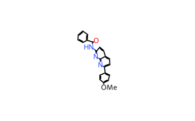 COc1ccc(-c2ccc3ccc(NC(=O)c4ccccc4)nc3n2)cc1